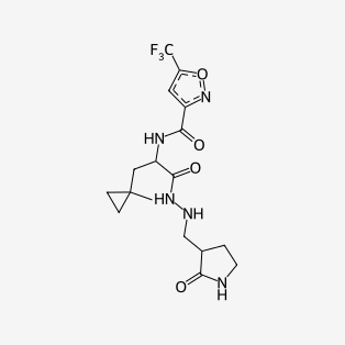 CC1(CC(NC(=O)c2cc(C(F)(F)F)on2)C(=O)NNCC2CCNC2=O)CC1